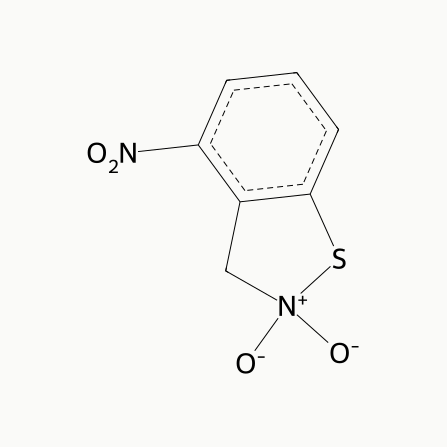 O=[N+]([O-])c1cccc2c1C[N+]([O-])([O-])S2